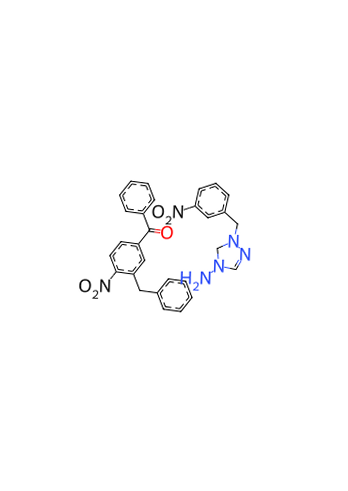 NN1C=NN(Cc2cccc([N+](=O)[O-])c2)C1.O=C(c1ccccc1)c1ccc([N+](=O)[O-])c(Cc2ccccc2)c1